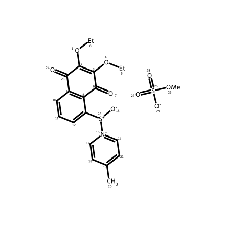 CCOC1=C(OCC)C(=O)c2c(cccc2[S+]([O-])[n+]2ccc(C)cc2)C1=O.COS(=O)(=O)[O-]